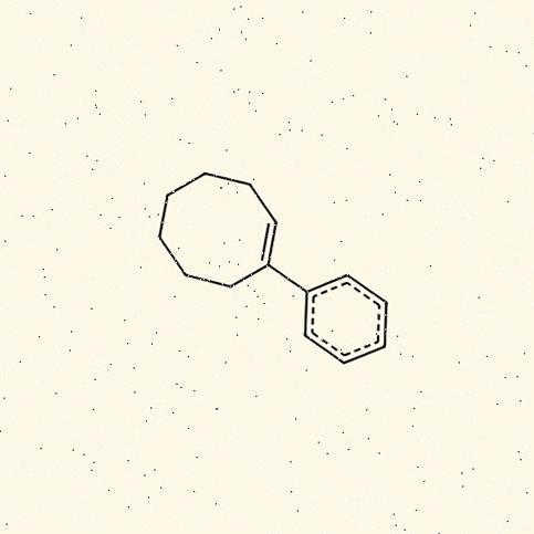 C1=C(/c2ccccc2)CCCCCC/1